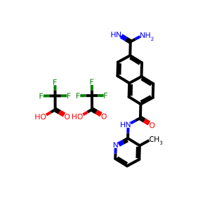 Cc1cccnc1NC(=O)c1ccc2cc(C(=N)N)ccc2c1.O=C(O)C(F)(F)F.O=C(O)C(F)(F)F